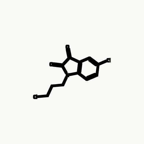 O=C1C(=O)N(CCCCl)c2ccc(Cl)cc21